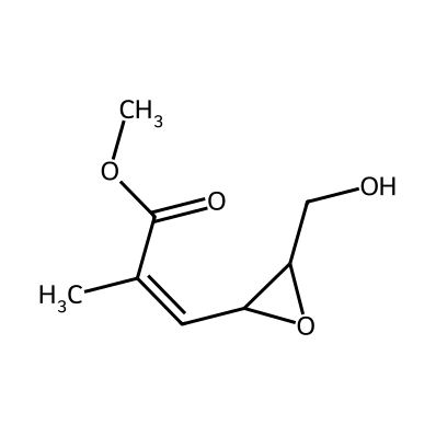 COC(=O)C(C)=CC1OC1CO